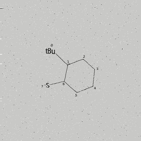 CC(C)(C)C1CCCCC1[S]